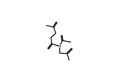 C=C(C)CCC(=C)N(CC(=C)C)C(=C)C